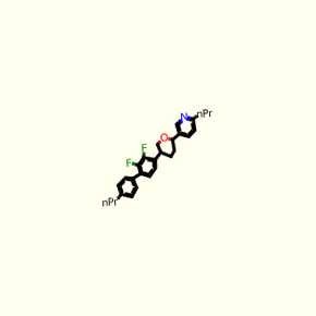 CCCc1ccc(-c2ccc(C3CCC(c4ccc(CCC)nc4)OC3)c(F)c2F)cc1